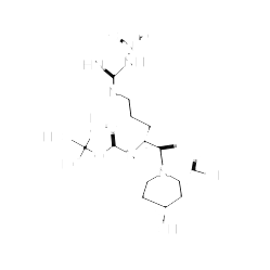 C[C@H]1CCN(C(=O)[C@H](CCCNC(=N)N[N+](=O)[O-])NC(=O)OC(C)(C)C)[C@H](C(=O)O)C1